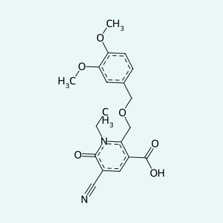 CCn1c(COCc2ccc(OC)c(OC)c2)c(C(=O)O)cc(C#N)c1=O